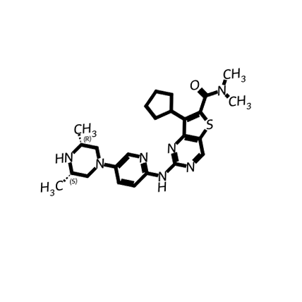 C[C@@H]1CN(c2ccc(Nc3ncc4sc(C(=O)N(C)C)c(C5CCCC5)c4n3)nc2)C[C@H](C)N1